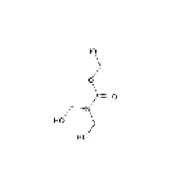 O=C(OCO)N(CO)CO